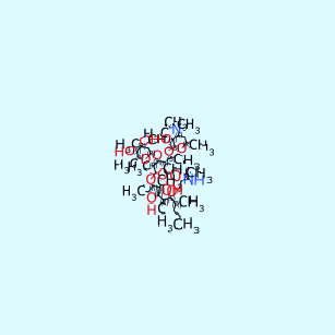 CCC[C@@H](C)[C@H](OCC(=O)NC)[C@H](C)[C@@H](O)[C@](C)(O)[C@@H](CC)OC(=O)[C@H](C)[C@@H](O[C@H]1C[C@@](C)(OC)[C@@H](O)[C@H](C)O1)[C@H](C)[C@H](C)O[C@@H]1O[C@H](C)C[C@H](N(C)C(C)C)[C@H]1O